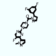 Cn1nccc1-c1nc(N2CCN(C(=O)N3N=CCC3c3cc(F)cc(F)c3)CC2)ncc1F